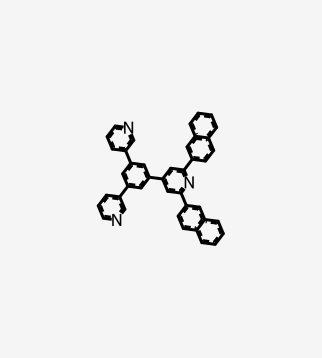 c1cncc(-c2cc(-c3cccnc3)cc(-c3cc(-c4ccc5ccccc5c4)nc(-c4ccc5ccccc5c4)c3)c2)c1